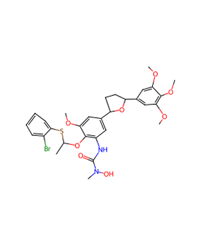 COc1cc(C2CCC(c3cc(OC)c(OC)c(OC)c3)O2)cc(NC(=O)N(C)O)c1OC(C)Sc1ccccc1Br